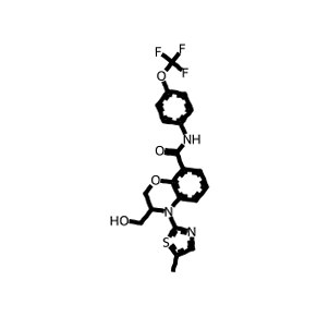 Cc1cnc(N2c3cccc(C(=O)Nc4ccc(OC(F)(F)F)cc4)c3OCC2CO)s1